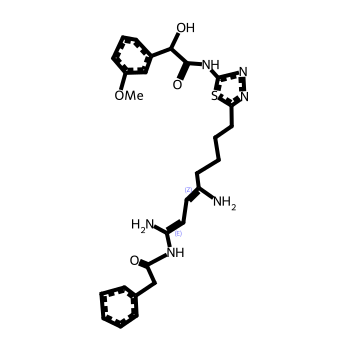 COc1cccc(C(O)C(=O)Nc2nnc(CCCC/C(N)=C/C=C(\N)NC(=O)Cc3ccccc3)s2)c1